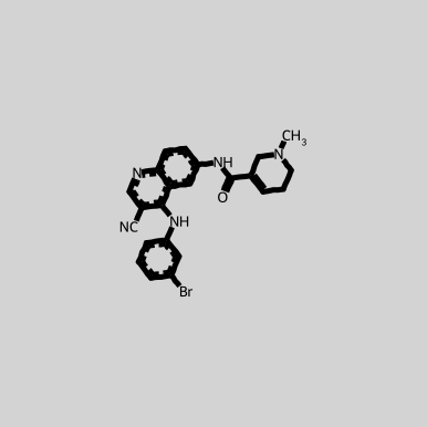 CN1CCC=C(C(=O)Nc2ccc3ncc(C#N)c(Nc4cccc(Br)c4)c3c2)C1